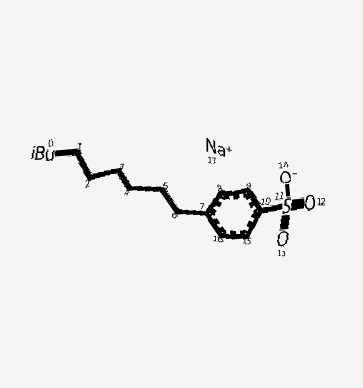 CCC(C)CCCCCCc1ccc(S(=O)(=O)[O-])cc1.[Na+]